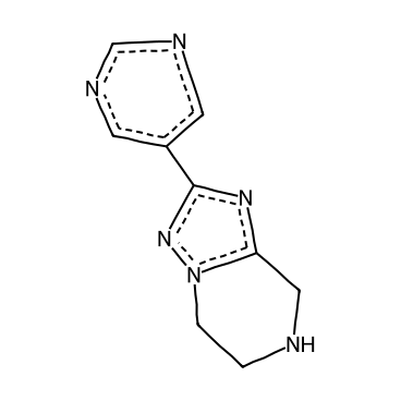 c1ncc(-c2nc3n(n2)CCNC3)cn1